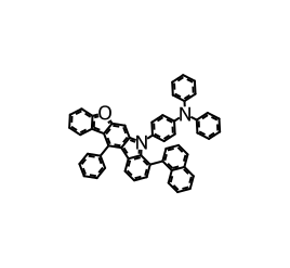 c1ccc(-c2c3c(cc4c2c2cccc(-c5cccc6ccccc56)c2n4-c2ccc(N(c4ccccc4)c4ccccc4)cc2)oc2ccccc23)cc1